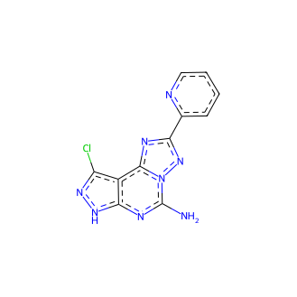 Nc1nc2[nH]nc(Cl)c2c2nc(-c3ccccn3)nn12